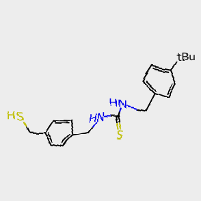 CC(C)(C)c1ccc(CNC(=S)NCc2ccc(CS)cc2)cc1